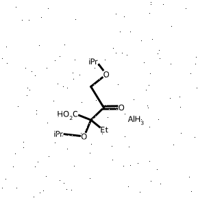 CCC(OC(C)C)(C(=O)O)C(=O)COC(C)C.[AlH3]